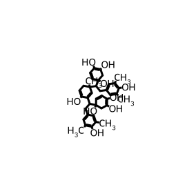 Cc1cc(CC(C2=CC(C)(C(Cc3cc(C)c(O)c(C)c3)C3(O)C=CC(O)=C(O)C3)CC=C2O)C2(O)C=CC(O)=C(O)C2)cc(C)c1O